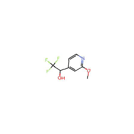 COc1cc(C(O)C(F)(F)F)ccn1